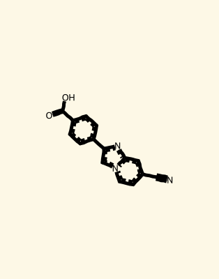 N#Cc1ccn2cc(-c3ccc(C(=O)O)cc3)nc2c1